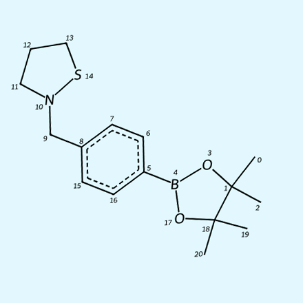 CC1(C)OB(c2ccc(CN3CCCS3)cc2)OC1(C)C